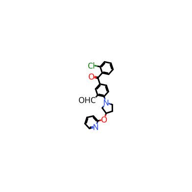 O=Cc1cc(C(=O)c2ccccc2Cl)ccc1N1CCC(Oc2ccccn2)C1